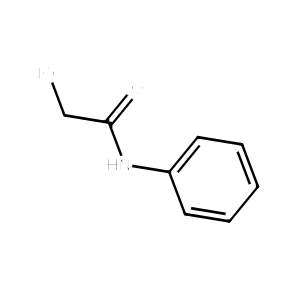 O=C([CH]O)Nc1ccccc1